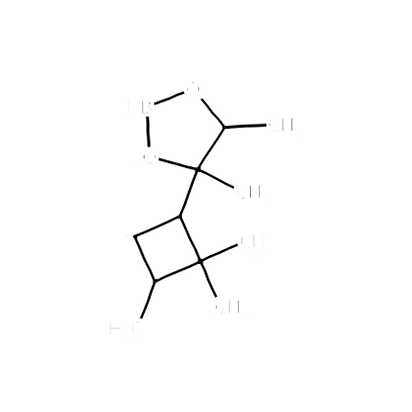 CC1CC(C2(C)OBOC2C)C1(C)C